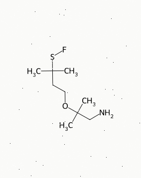 CC(C)(CN)OCCC(C)(C)SF